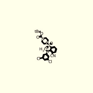 CN(c1cc(Cl)cc(Cl)c1)c1c(C#N)cccc1S(=O)(=O)N1CCN(C(=O)OC(C)(C)C)CC1